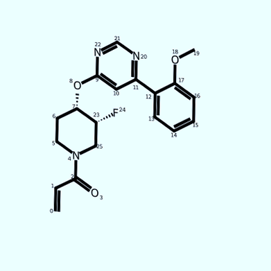 C=CC(=O)N1CC[C@H](Oc2cc(-c3ccccc3OC)ncn2)[C@H](F)C1